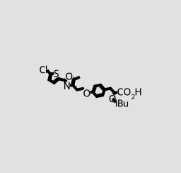 CCC(C)OC(Cc1ccc(OCCc2nc(-c3ccc(Cl)s3)oc2C)cc1)C(=O)O